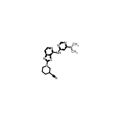 CN(C)c1cc(Nc2nccc3nc(N4CCCC(C#N)C4)sc23)ncn1